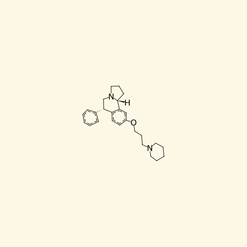 c1ccc([C@@H]2CN3CCC[C@@H]3c3cc(OCCCN4CCCCC4)ccc32)cc1